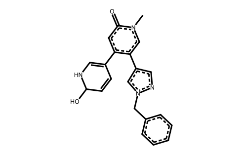 Cn1cc(-c2cnn(Cc3ccccc3)c2)c(C2=CNC(O)C=C2)cc1=O